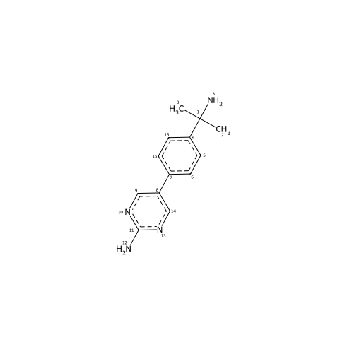 CC(C)(N)c1ccc(-c2cnc(N)nc2)cc1